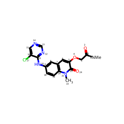 CNC(=O)COc1cc2cc(Nc3ncncc3Cl)ccc2n(C)c1=O